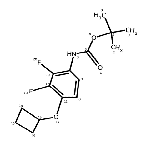 CC(C)(C)OC(=O)Nc1ccc(OC2CCC2)c(F)c1F